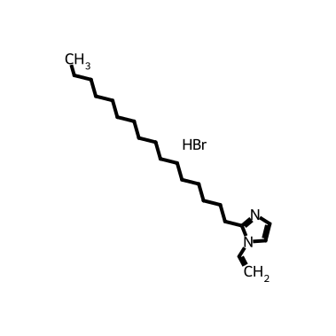 Br.C=Cn1ccnc1CCCCCCCCCCCCCCCC